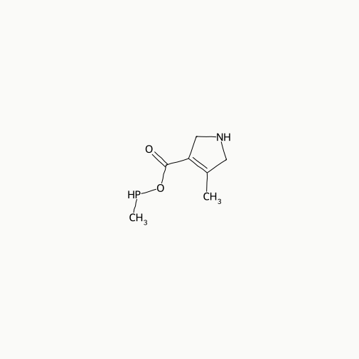 CPOC(=O)C1=C(C)CNC1